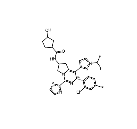 O=C(NC1CC2=C(c3ccn(C(F)F)n3)[C@H](c3ccc(F)cc3Cl)N=C(c3nccs3)N2C1)C1CCC(O)C1